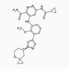 COc1c(Nc2cc(NC(=O)C3CC3)nnc2C(N)=O)cccc1-c1cnn([C@@H]2CCOC3(CC3)C2)c1